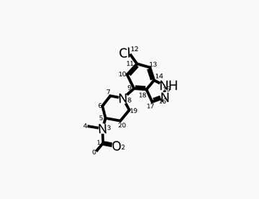 CC(=O)N(C)C1CCN(c2cc(Cl)cc3[nH]ncc23)CC1